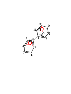 c1cc2c(-c3cc4ccc3o4)cc1OC2